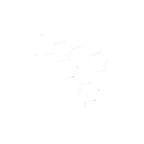 COc1cc(C)c(NC(=O)C2=CNC(=O)N[C@H]2c2ccc(F)cc2)cc1OC